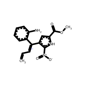 C=C/C=C(\c1ccccc1N)c1cc(C(=O)OC)[nH]c1[N+](=O)[O-]